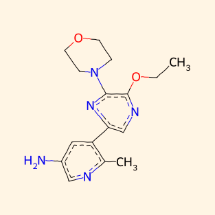 CCOc1ncc(-c2cc(N)cnc2C)nc1N1CCOCC1